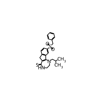 CC(C)CN1CCNC(=S)C2=C1c1cc(S(=O)(=O)Cc3ccccc3)ccc1C2